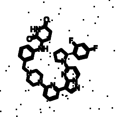 O=C1CCC(Nc2cccc(CN3CCN(c4cccc(-c5cnn6ccc(N7CCC[C@@H]7c7ccc(F)cc7F)nc56)n4)CC3)c2)C(=O)N1